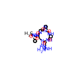 CC(=O)N[C@@H](Cc1ccccc1)C(=O)N[C@H]1CCCNC(=O)[C@H](CCCNC(=N)N)NC(=O)C2CCCCC2NC(=O)[C@@H](Cc2ccccc2)NC(=O)[C@@H]2CCCN2C1=O